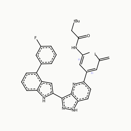 C=C(I)/C=C(\C=C(/C)NC(=O)CC(C)(C)C)c1ccc2[nH]nc(-c3cc4c(-c5cccc(F)c5)cccc4[nH]3)c2n1